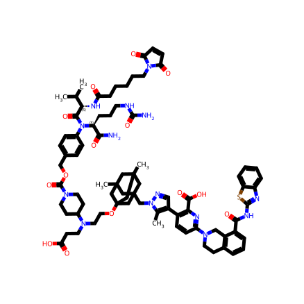 Cc1c(-c2ccc(N3CCc4cccc(C(=O)Nc5nc6ccccc6s5)c4C3)nc2C(=O)O)cnn1CC12CC3(C)CC(C)(C1)CC(OCCN(CCC(=O)O)C1CCN(C(=O)OCc4ccc(N(C(=O)[C@@H](NC(=O)CCCCCN5C(=O)C=CC5=O)C(C)C)[C@@H](CCCNC(N)=O)C(N)=O)cc4)CC1)(C3)C2